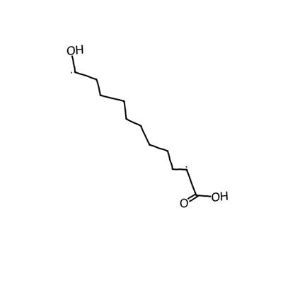 O=C(O)[CH]CCCCCCCC[CH]O